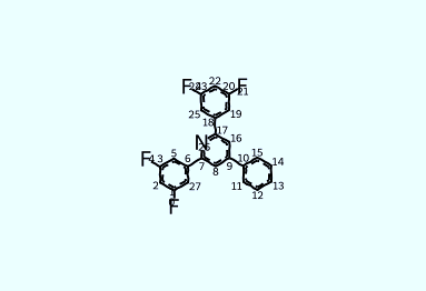 Fc1cc(F)cc(-c2cc(-c3ccccc3)cc(-c3cc(F)cc(F)c3)n2)c1